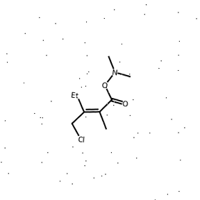 CCC(CCl)=C(C)C(=O)ON(C)C